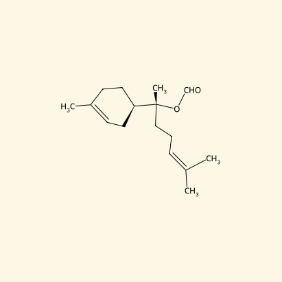 CC(C)=CCC[C@@](C)(OC=O)[C@H]1CC=C(C)CC1